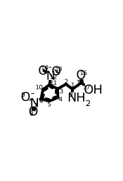 NC(Cc1ccc([N+](=O)[O-])cc1[N+](=O)[O-])C(=O)O